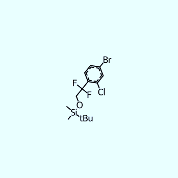 CC(C)(C)[Si](C)(C)OCC(F)(F)c1ccc(Br)cc1Cl